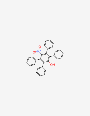 O=[N+]([O-])c1c(-c2ccccc2)c(-c2ccccc2)c(O)c(-c2ccccc2)c1-c1ccccc1